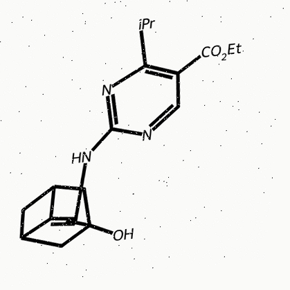 CCOC(=O)c1cnc(NC2=C3C4CC3CC(O)(C2)C4)nc1C(C)C